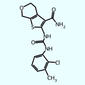 Cc1cccc(NC(=O)Nc2sc3c(c2C(N)=O)CCOC3)c1Cl